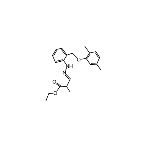 CCOC(=O)C(C)C=NNc1ccccc1COc1cc(C)ccc1C